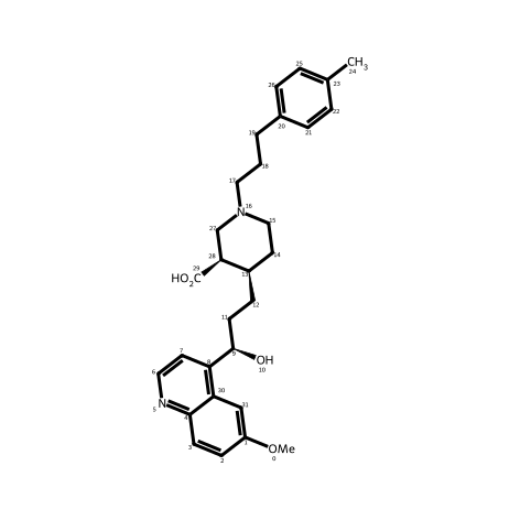 COc1ccc2nccc([C@H](O)CC[C@@H]3CCN(CCCc4ccc(C)cc4)C[C@@H]3C(=O)O)c2c1